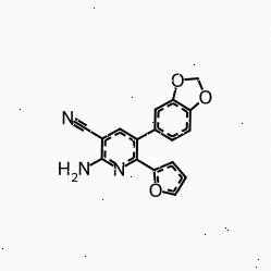 N#Cc1cc(-c2ccc3c(c2)OCO3)c(-c2ccco2)nc1N